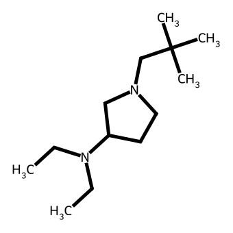 CCN(CC)C1CCN(CC(C)(C)C)C1